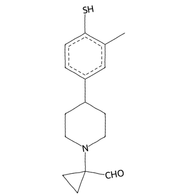 Cc1cc(C2CCN(C3(C=O)CC3)CC2)ccc1S